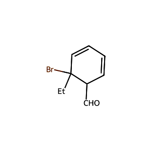 CCC1(Br)C=CC=CC1C=O